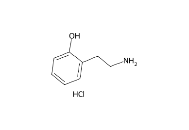 Cl.NCCc1ccccc1O